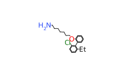 CCc1cccc(Cl)c1-c1ccccc1OCCCCCCCN